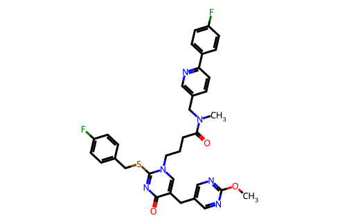 COc1ncc(Cc2cn(CCCC(=O)N(C)Cc3ccc(-c4ccc(F)cc4)nc3)c(SCc3ccc(F)cc3)nc2=O)cn1